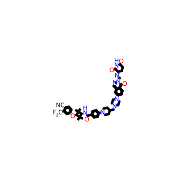 CC1(C)[C@H](NC(=O)c2ccc(N3CCC(CN4CCN(c5ccc6c(=O)n(/C=N/[C@H]7CCC(=O)NC7=O)ncc6c5)CC4)CC3)cc2)C(C)(C)[C@H]1Oc1ccc(C#N)c(C(F)(F)F)c1